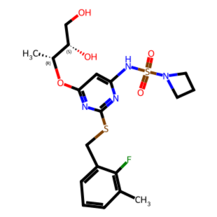 Cc1cccc(CSc2nc(NS(=O)(=O)N3CCC3)cc(O[C@H](C)[C@@H](O)CO)n2)c1F